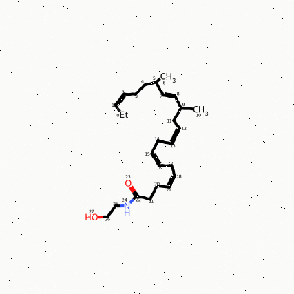 CC/C=C\CCC(C)/C=C/C(C)C/C=C\C/C=C\C/C=C\CCC(=O)NCCO